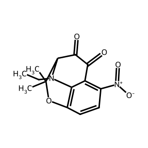 CCN1c2c3ccc([N+](=O)[O-])c2C(=O)C(=O)C1C(C)(C)O3